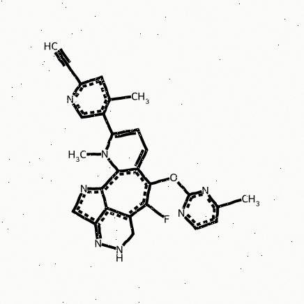 C#Cc1cc(C)c(C2=CC=c3c(Oc4nccc(C)n4)c(F)c4c5c(cnc-5c3N2C)=NNC4)cn1